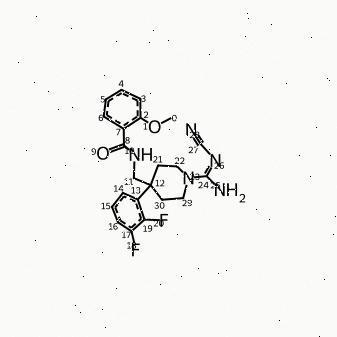 COc1ccccc1C(=O)NCC1(c2cccc(F)c2F)CCN(/C(N)=N\C#N)CC1